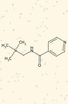 C[Si](C)(C)CNC(=O)c1ccncc1